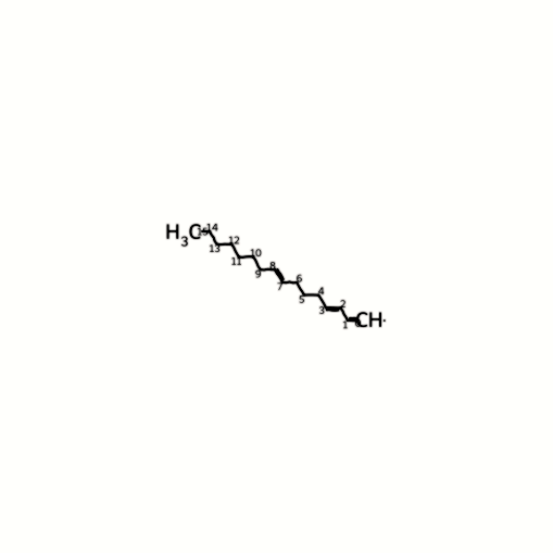 [CH]=CC=CCCCC=CCCCCCCC